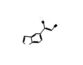 N#C/C=C(\C#N)c1ccc2occc2c1